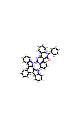 O=c1c2cnc(-n3c4ccccc4c4c5ccccc5c5c6ccccc6n(-c6ccccc6)c5c43)nc2c2ccccc2n1-c1ccccc1